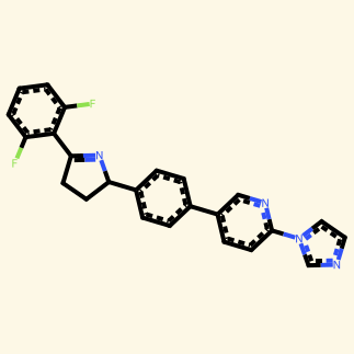 Fc1cccc(F)c1C1=NC(c2ccc(-c3ccc(-n4ccnc4)nc3)cc2)CC1